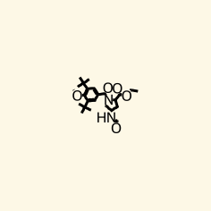 CCOC(=O)C1C[C@H](NC=O)CN1C(=O)c1cc(C(C)(C)C)c(OC)c(C(C)(C)C)c1